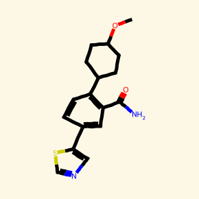 COC1CCC(c2ccc(-c3cncs3)cc2C(N)=O)CC1